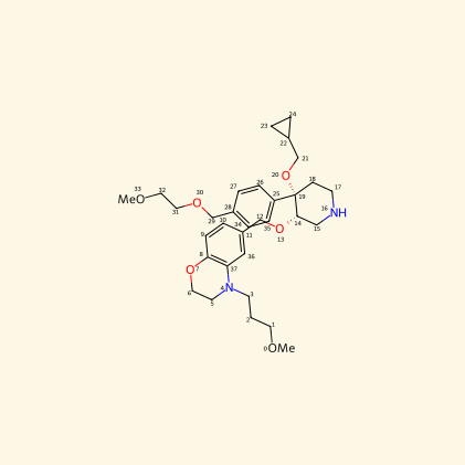 COCCCN1CCOc2ccc(CO[C@H]3CNCC[C@]3(OCC3CC3)c3ccc(COCCOC)cc3)cc21